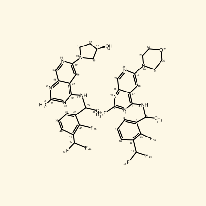 Cc1nc(NC(C)c2cccc(C(F)F)c2F)c2cc(N3CCOCC3)ncc2n1.Cc1nc(NC(C)c2cccc(C(F)F)c2F)c2cc(N3CC[C@@H](O)C3)ncc2n1